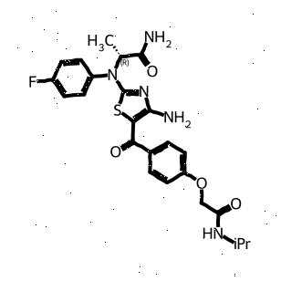 CC(C)NC(=O)COc1ccc(C(=O)c2sc(N(c3ccc(F)cc3)[C@H](C)C(N)=O)nc2N)cc1